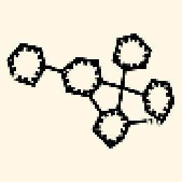 Nc1cccc2c1C(c1ccccc1)(c1ccccc1)c1ccc(-c3cccnc3)cc1-2